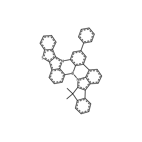 CC1(C)c2ccccc2-c2c1n1c3c(cccc23)-c2cc(-c3ccccc3)cc3c2B1c1cccc2c4sc5ccccc5c4n-3c12